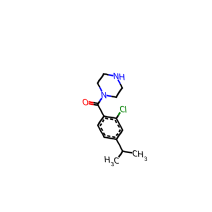 CC(C)c1ccc(C(=O)N2CCNCC2)c(Cl)c1